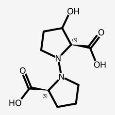 O=C(O)[C@@H]1C(O)CCN1N1CCC[C@H]1C(=O)O